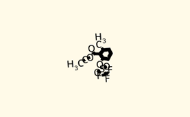 CCOC(=O)c1c(C)cccc1OS(=O)(=O)C(F)(F)F